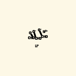 O=C[O-].O=C[O-].O=C[O-].[Li+].[S+2]